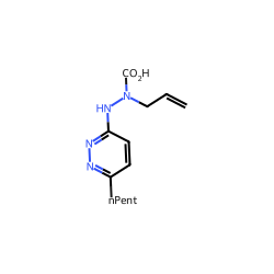 C=CCN(Nc1ccc(CCCCC)nn1)C(=O)O